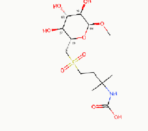 CO[C@H]1O[C@H](CS(=O)(=O)CCC(C)(C)NC(=O)O)[C@@H](O)[C@H](O)[C@H]1O